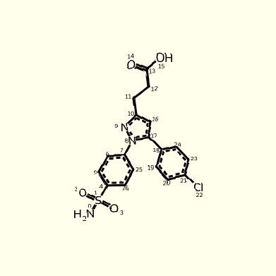 NS(=O)(=O)c1ccc(-n2nc(CCC(=O)O)cc2-c2ccc(Cl)cc2)cc1